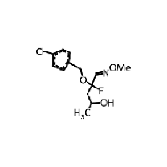 CON=CC(F)(CC(C)O)OCc1ccc(Cl)cc1